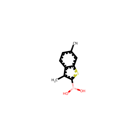 Cc1c(B(O)O)sc2cc(C#N)ccc12